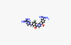 N=C(N)c1ccc(C(=O)N2CCN(C(=O)c3cc(Cl)cc(CN4CCN(C(=N)N)CC4)c3)CC2)cc1